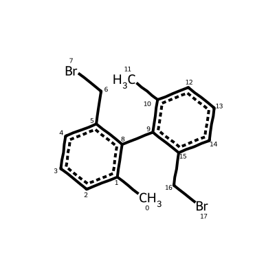 Cc1cccc(CBr)c1-c1c(C)cccc1CBr